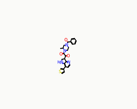 CC1CN(C(=O)c2ccccc2)CCN1C(=O)C(=O)C1CNc2c(-c3ccsc3)ccnc21